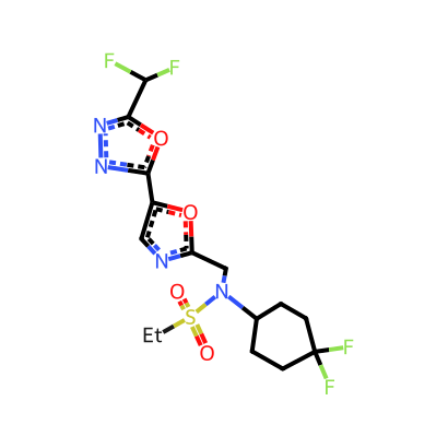 CCS(=O)(=O)N(Cc1ncc(-c2nnc(C(F)F)o2)o1)C1CCC(F)(F)CC1